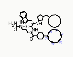 NC(=O)NCCC[C@H](NC(=O)[C@H](Cc1c[nH]c2ccccc12)NC1CCC(CC2CCCCCCCCCC2)C1)C(=O)C1CCC(C2=C/C=C\C=C/C=C\C=C/C=C\2)CC1